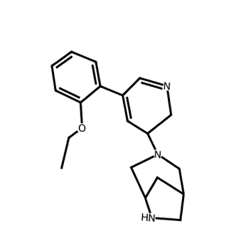 CCOc1ccccc1C1=CC(N2CC3CNC(C3)C2)CN=C1